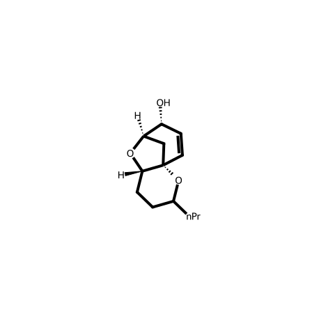 CCCC1CC[C@@H]2O[C@@H]3C[C@]2(C=C[C@H]3O)O1